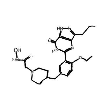 CCCc1n[nH]c2c(=O)[nH]c(-c3cc(CC4CCN(CC(=O)NO)CC4)ccc3OCC)nc12